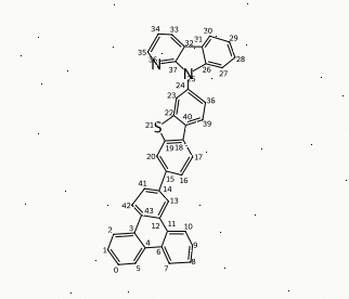 c1ccc2c(c1)c1ccccc1c1cc(-c3ccc4c(c3)sc3cc(-n5c6ccccc6c6cccnc65)ccc34)ccc21